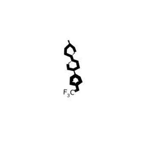 C[C@H]1CC[C@H]([C@H]2CC[C@H](c3ccc(CC(F)(F)F)cc3)CC2)CC1